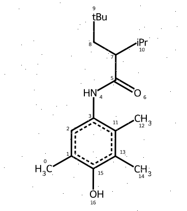 Cc1cc(NC(=O)C(CC(C)(C)C)C(C)C)c(C)c(C)c1O